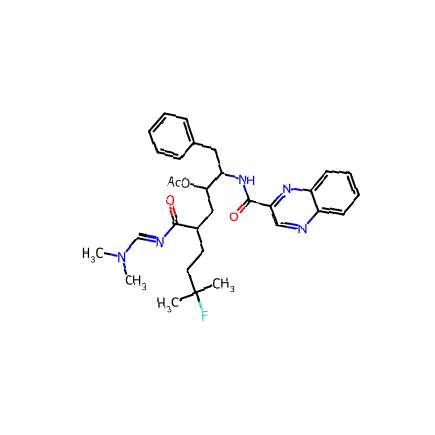 CC(=O)OC(CC(CCC(C)(C)F)C(=O)/N=C/N(C)C)C(Cc1ccccc1)NC(=O)c1cnc2ccccc2n1